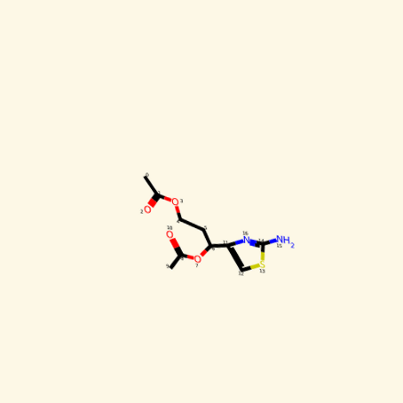 CC(=O)OCCC(OC(C)=O)c1csc(N)n1